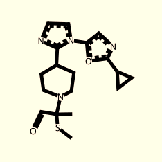 CSC(C)(C=O)N1CCC(c2nccn2-c2cnc(C3CC3)o2)CC1